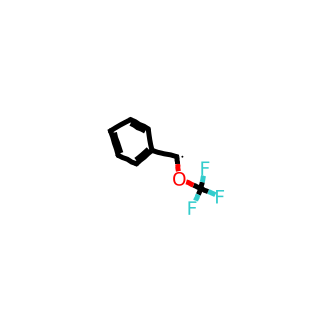 FC(F)(F)O[CH]c1ccccc1